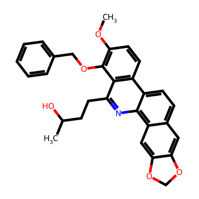 COc1ccc2c(c(CCC(C)O)nc3c4cc5c(cc4ccc23)OCO5)c1OCc1ccccc1